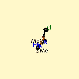 COc1ccc2[nH]c(SCc3nccc(SCCCCc4ccc(Cl)cc4)c3OC)nc2c1